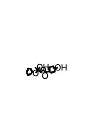 CC(O)(COC(=O)c1ccc(O)cc1)Oc1ccccc1